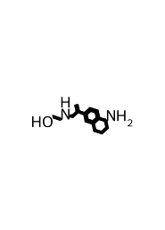 C=C(CNCCO)c1ccc2c(c1)CCCC2N